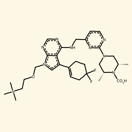 C[C@@H]1CN(c2nccc(CNc3ncnc4c3c(C3=CCC(F)(F)CC3)cn4COCC[Si](C)(C)C)n2)C[C@H](C)N1C(=O)O